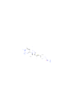 Cc1c(-c2[nH]c3sc(C4CCN(CC(N)=O)CC4)c(C)c3c2C(C)C)cn2ncnc2c1C